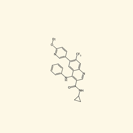 CCOc1ccc(-c2cc3c(Nc4ccccc4)c(C(=O)NC4CC4)cnc3cc2C(F)(F)F)cn1